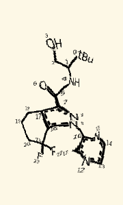 CC(C)(C)C(CO)NC(=O)c1nn(-c2cnccn2)c2c1CCCC2(F)F